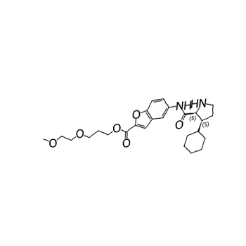 COCCOCCCOC(=O)c1cc2cc(NC(=O)[C@H]3NCC[C@H]3C3CCCCC3)ccc2o1